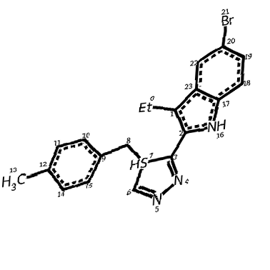 CCc1c(C2=NN=C[SH]2Cc2ccc(C)cc2)[nH]c2ccc(Br)cc12